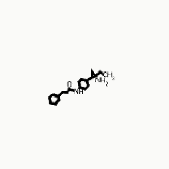 CCC1(N)CC1c1ccc(NC(=O)CCc2ccccc2)cc1